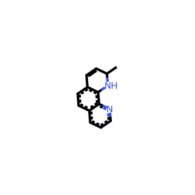 CC1C=Cc2ccc3cccnc3c2N1